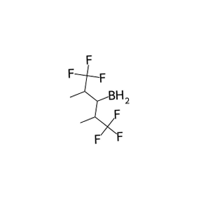 BC(C(C)C(F)(F)F)C(C)C(F)(F)F